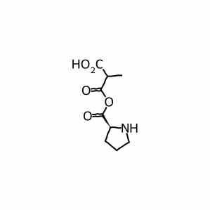 CC(C(=O)O)C(=O)OC(=O)[C@@H]1CCCN1